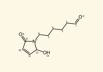 O=CCCCCCN1C(=O)C=CC1O